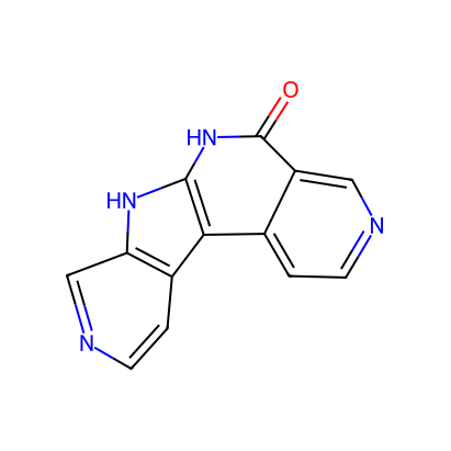 O=c1[nH]c2[nH]c3cnccc3c2c2ccncc12